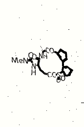 CNC(=O)N[C@H]1CCCCS(=O)(=O)c2ccccc2-c2cccc(c2)OC[C@@H](C)NC1=O